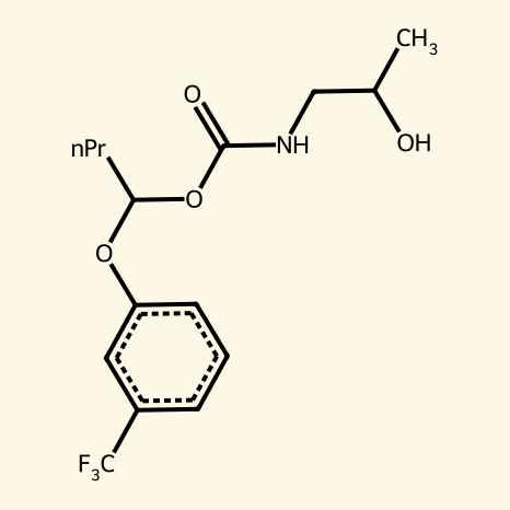 CCCC(OC(=O)NCC(C)O)Oc1cccc(C(F)(F)F)c1